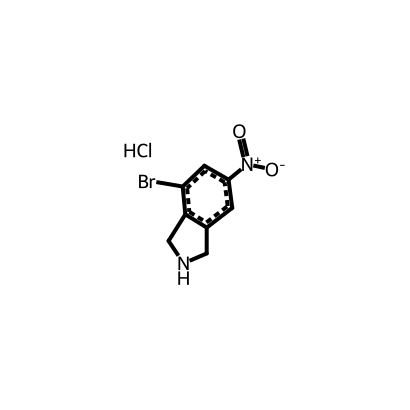 Cl.O=[N+]([O-])c1cc(Br)c2c(c1)CNC2